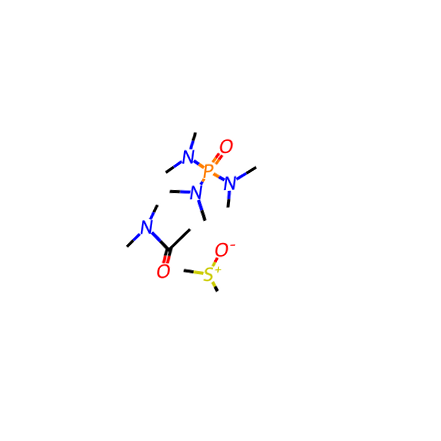 CC(=O)N(C)C.CN(C)P(=O)(N(C)C)N(C)C.C[S+](C)[O-]